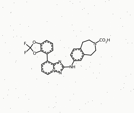 O=C(O)N1CCc2ccc(Nc3nc4c(-c5cccc6c5OC(F)(F)O6)cccn4n3)cc2CC1